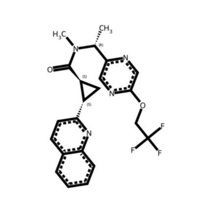 C[C@H](c1cnc(OCC(F)(F)F)cn1)N(C)C(=O)[C@H]1C[C@@H]1c1ccc2ccccc2n1